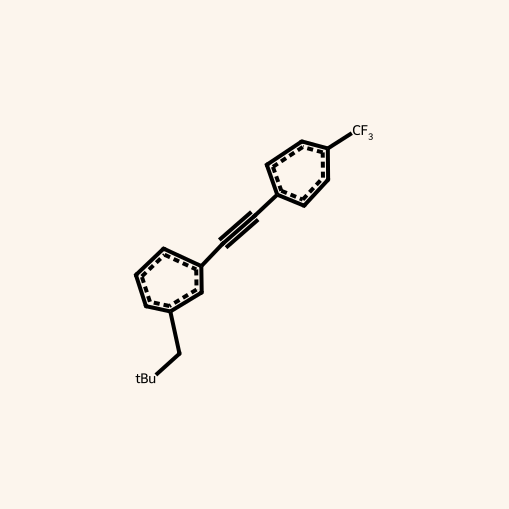 CC(C)(C)Cc1cccc(C#Cc2ccc(C(F)(F)F)cc2)c1